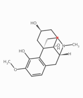 COc1ccc2c(c1O)[C@]13CCN(C)[C@H](C2)[C@]1(O)CC[C@H](O)C3